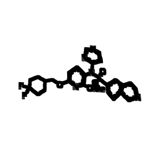 COc1nc(OCC2CCC(F)(F)CC2)ccc1N(c1ccncn1)S(=O)(=O)c1ccc2cnccc2c1